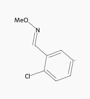 CON=Cc1c[c]ccc1Cl